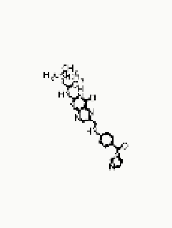 C[Si](C)(C)CC(=O)Nc1nc2ncc(CNc3ccc(C(=O)n4ccnc4)cc3)nc2c(=O)[nH]1